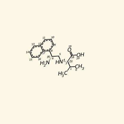 CC(C)[C@H](NC[C@H](N)c1cccc2ccccc12)C(=O)O